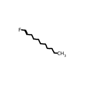 CCCCCCCCCC=CF